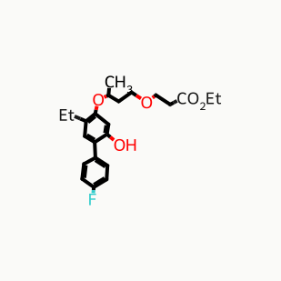 CCOC(=O)CCOCCC(C)Oc1cc(O)c(-c2ccc(F)cc2)cc1CC